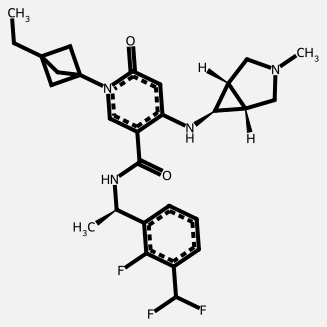 CCC12CC(n3cc(C(=O)N[C@H](C)c4cccc(C(F)F)c4F)c(N[C@H]4[C@@H]5CN(C)C[C@@H]54)cc3=O)(C1)C2